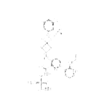 CCOc1ncccc1-c1ccc(OC2CC3(C2)CN(c2cccc(Cl)c2C(F)(F)F)C3)c(C(=O)NCC2(O)CNC2)n1